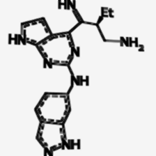 CC[C@@H](CN)C(=N)c1nc(Nc2ccc3cn[nH]c3c2)nc2[nH]ccc12